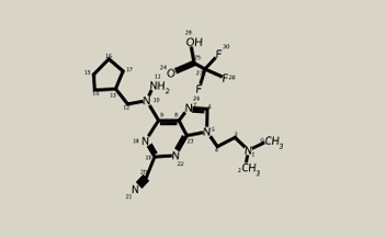 CN(C)CCn1cnc2c(N(N)CC3CCCC3)nc(C#N)nc21.O=C(O)C(F)(F)F